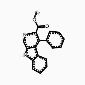 CC(C)OC(=O)c1ncc2[nH]c3ccccc3c2c1-c1ccccc1